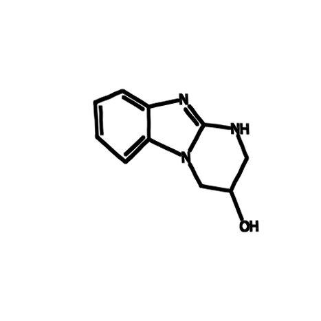 OC1CNc2nc3ccccc3n2C1